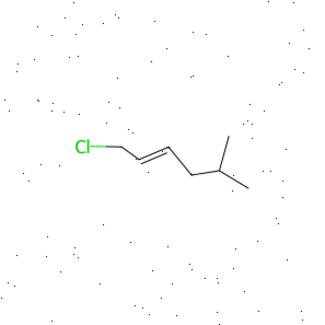 CC(C)CC=CCCl